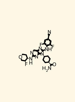 N#Cc1cc(F)c(Nc2nc3cnc(N[C@H]4CCOC[C@H]4F)nc3n2[C@H]2CC[C@H](C(N)=O)CC2)c(F)c1